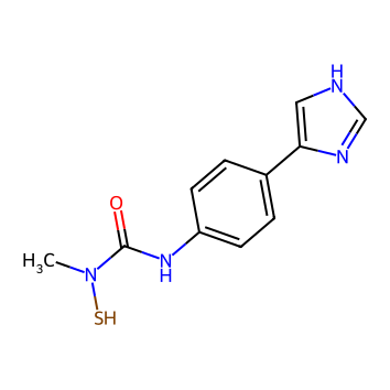 CN(S)C(=O)Nc1ccc(-c2c[nH]cn2)cc1